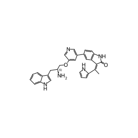 CC(=C1C(=O)Nc2ccc(-c3cncc(OC[C@@H](N)Cc4c[nH]c5ccccc45)c3)cc21)c1ccc[nH]1